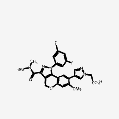 COc1cc2c(cc1-c1cnn(CC(=O)O)c1)-c1c(c(C(=O)N(C)C(C)(C)C)nn1-c1cc(F)cc(F)c1)CO2